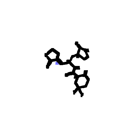 O=C1OCC/C1=C\[C@H](C[C@@H]1CCNC1=O)NC(=O)[C@@H]1CC(F)(F)CCN1